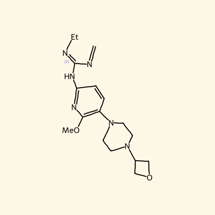 C=N/C(=N\CC)Nc1ccc(N2CCN(C3COC3)CC2)c(OC)n1